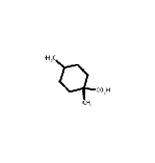 [CH2]C1CCC(C)(C(=O)O)CC1